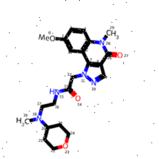 COc1ccc2c(c1)c1c(cnn1CC(=O)NCCN(C)C1CCOCC1)c(=O)n2C